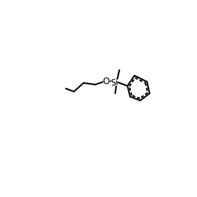 CCCCO[Si](C)(C)c1ccccc1